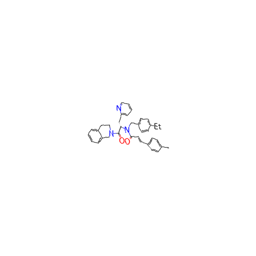 CCc1ccc(CN(C(=O)C=Cc2ccc(C)cc2)[C@@H](Cc2ccccn2)C(=O)N2CCc3ccccc3C2)cc1